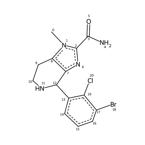 Cn1c(C(N)=O)nc2c1CCNC2c1cccc(Br)c1Cl